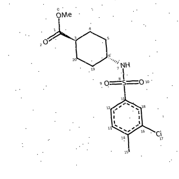 COC(=O)[C@H]1CC[C@H](NS(=O)(=O)c2ccc(C)c(Cl)c2)CC1